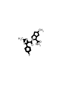 Cc1nc(C(=O)N2CC3CC(C)CC3C2C(N)=O)c(-c2ccc(F)cc2)s1